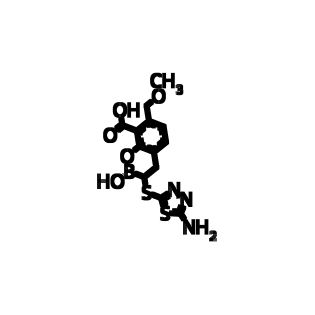 COCc1ccc2c(c1C(=O)O)OB(O)C(Sc1nnc(N)s1)C2